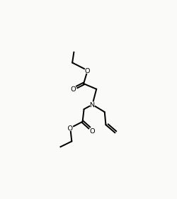 C=CCN(CC(=O)OCC)CC(=O)OCC